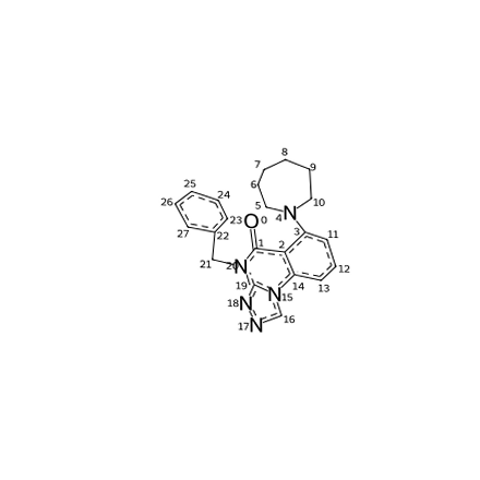 O=c1c2c(N3CCCCCC3)cccc2n2cnnc2n1Cc1ccccc1